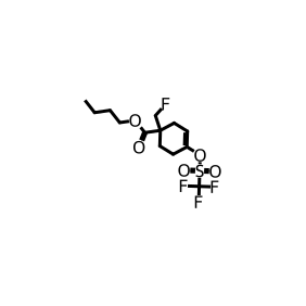 CCCCOC(=O)C1(CF)CC=C(OS(=O)(=O)C(F)(F)F)CC1